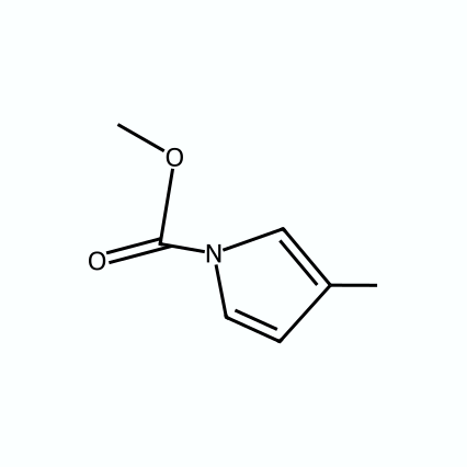 COC(=O)n1ccc(C)c1